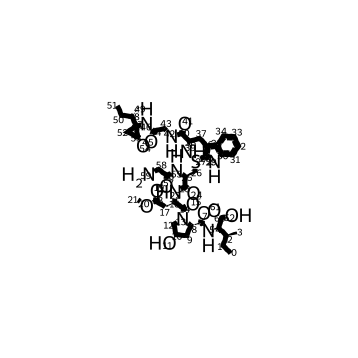 CC[C@H](C)[C@H](NC(=O)[C@@H]1C[C@@H](O)CN1C(=O)[C@H](CC(=O)OC)NC(=O)[C@H](CSc1[nH]c2ccccc2c1C[C@@H](N)C(=O)NCC(=O)NC1([C@@H](C)CC)CC1=O)NC(=O)CN)C(=O)O